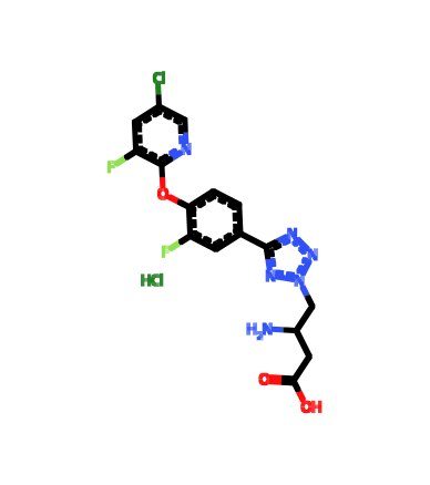 Cl.NC(CC(=O)O)Cn1nnc(-c2ccc(Oc3ncc(Cl)cc3F)c(F)c2)n1